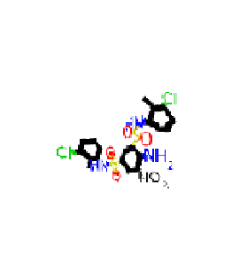 Cc1c(Cl)cccc1NS(=O)(=O)c1cc([N+](=O)[O-])c(N)c(S(=O)(=O)Nc2cccc(Cl)c2C)c1